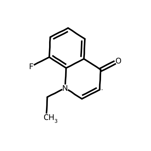 CCn1c[c]c(=O)c2cccc(F)c21